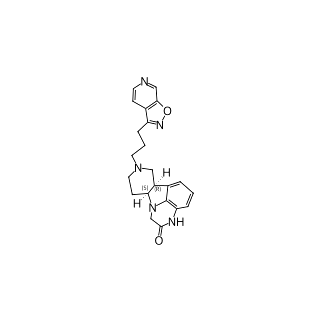 O=C1CN2c3c(cccc3[C@@H]3CN(CCCc4noc5cnccc45)CC[C@@H]32)N1